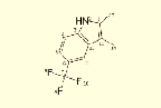 Cc1[nH]c2ccc(C(F)(F)F)cc2c1C